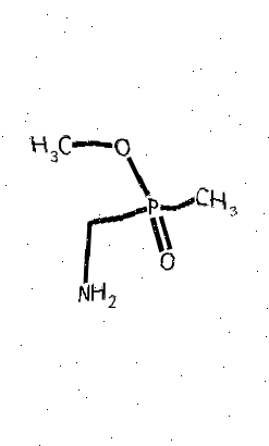 COP(C)(=O)CN